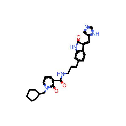 O=C1Nc2cc(C=CCNC(=O)c3cccn(CC4CCCCC4)c3=O)ccc2C1=Cc1cnc[nH]1